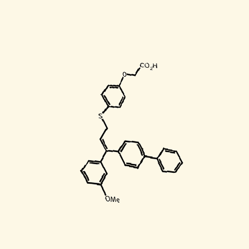 COc1cccc(/C(=C/CSc2ccc(OCC(=O)O)cc2)c2ccc(-c3ccccc3)cc2)c1